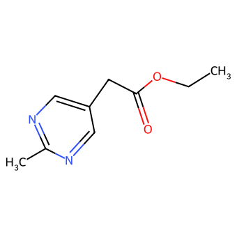 CCOC(=O)Cc1cnc(C)nc1